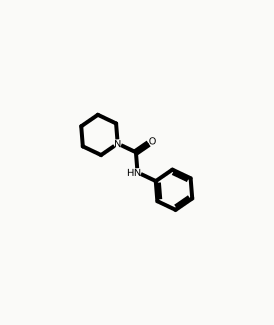 O=C(Nc1ccccc1)N1CCCCC1